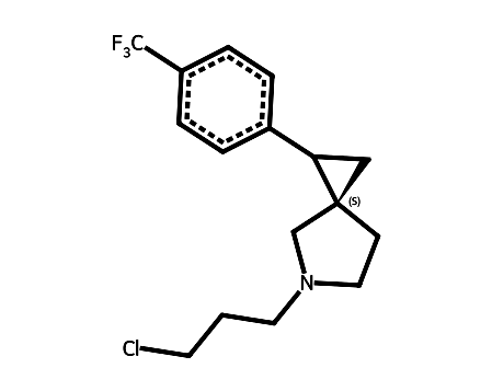 FC(F)(F)c1ccc(C2C[C@]23CCN(CCCCl)C3)cc1